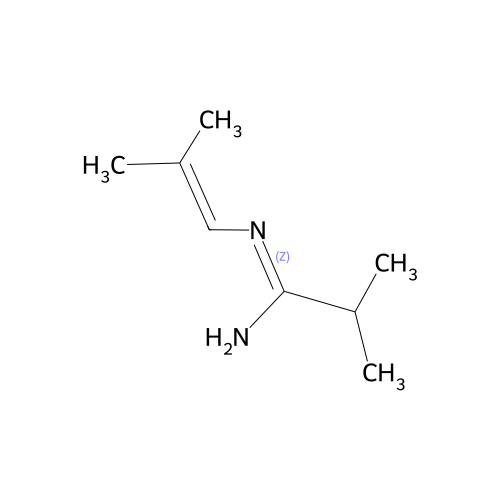 CC(C)=C/N=C(\N)C(C)C